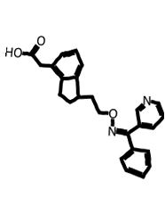 O=C(O)Cc1cccc2c1CCC2CCON=C(c1ccccc1)c1cccnc1